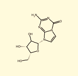 Nc1nc(=O)n2ccn([C@@H]3O[C@H](CO)[C@H](O)C3O)c2n1